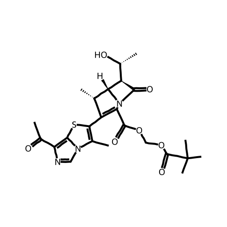 CC(=O)c1ncn2c(C)c(C3=C(C(=O)OCOC(=O)C(C)(C)C)N4C(=O)[C@H]([C@@H](C)O)[C@H]4[C@H]3C)sc12